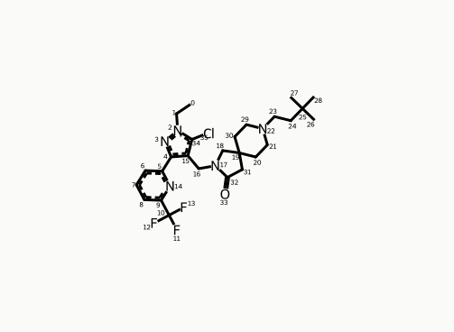 CCn1nc(-c2cccc(C(F)(F)F)n2)c(CN2CC3(CCN(CCC(C)(C)C)CC3)CC2=O)c1Cl